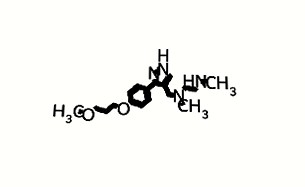 CNCCN(C)Cc1c[nH]nc1-c1ccc(OCCCOC)cc1